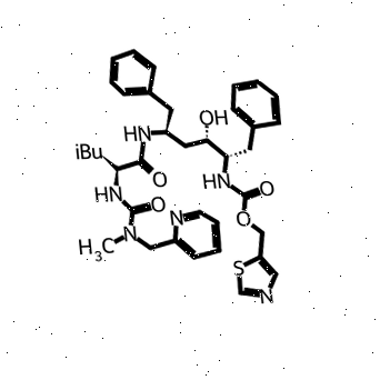 CC[C@H](C)[C@H](NC(=O)N(C)Cc1ccccn1)C(=O)N[C@@H](Cc1ccccc1)C[C@H](O)[C@H](Cc1ccccc1)NC(=O)OCc1cncs1